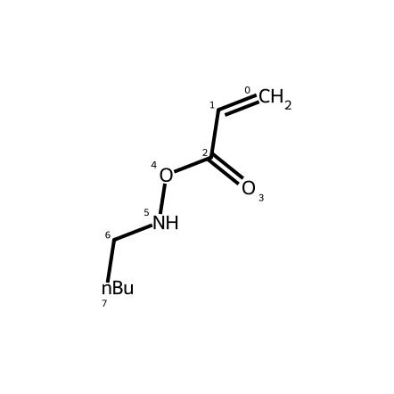 C=CC(=O)ONCCCCC